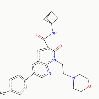 N#Cc1ccc(-c2cnc3c(c2)cc(C(=O)NC24CC(C2)C4)c(=O)n3CCN2CCOCC2)cc1